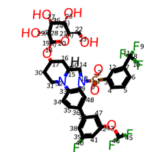 O=S(=O)(c1cccc(C(F)(F)F)c1)N1C[C@@H]2CC(O[C@@H]3O[C@H](CO)[C@@H](O)[C@H](O)[C@H]3O)CCN2c2ccc(-c3cc(F)cc(OC(F)F)c3)cc21